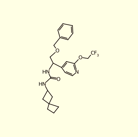 O=C(NC1CC2(CCC2)C1)NC(COCc1ccccc1)c1ccnc(OCC(F)(F)F)c1